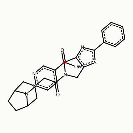 COC(=O)c1ccc(N2C3CCC2CN(CC(=O)N2Cc4nc(-c5ccccc5)sc4C2)C3)nc1